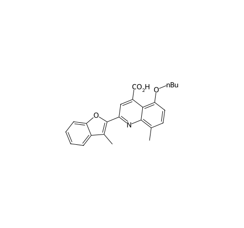 CCCCOc1ccc(C)c2nc(-c3oc4ccccc4c3C)cc(C(=O)O)c12